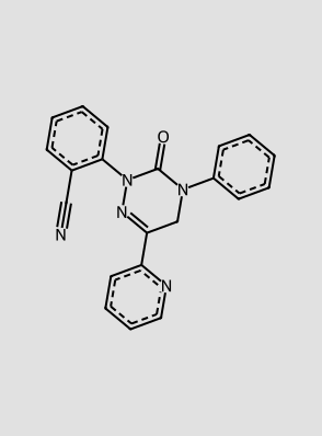 N#Cc1ccccc1N1N=C(c2ccccn2)CN(c2ccccc2)C1=O